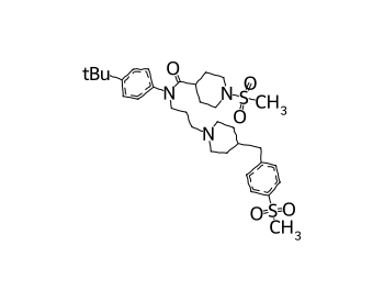 CC(C)(C)c1ccc(N(CCCN2CCC(Cc3ccc(S(C)(=O)=O)cc3)CC2)C(=O)C2CCN(S(C)(=O)=O)CC2)cc1